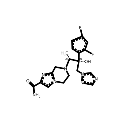 C[C@@H](N1CCn2cc(C(N)=O)nc2C1)[C@](O)(Cn1cncn1)c1ccc(F)cc1F